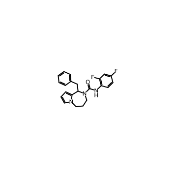 O=C(Nc1ccc(F)cc1F)N1CCCn2cccc2C1Cc1ccccc1